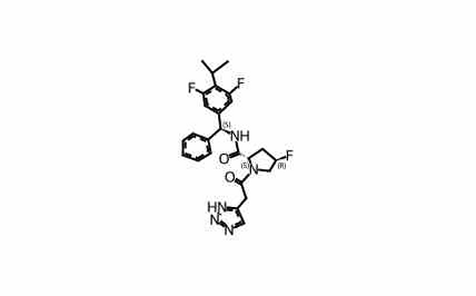 CC(C)c1c(F)cc([C@@H](NC(=O)[C@@H]2C[C@@H](F)CN2C(=O)Cc2cnn[nH]2)c2ccccc2)cc1F